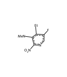 CCc1c(F)cnc([N+](=O)[O-])c1NC